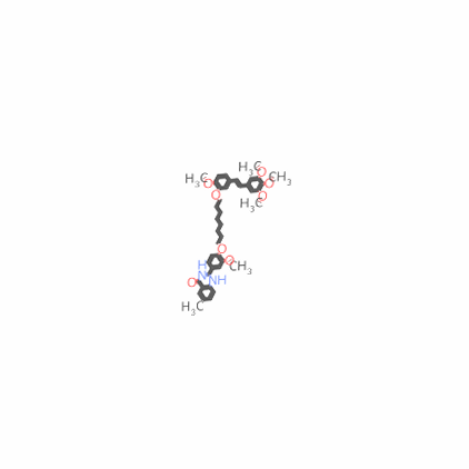 COc1cc(C2NC(=O)c3cc(C)ccc3N2)ccc1OCCCCCCCCOc1cc(C=Cc2cc(OC)c(OC)c(OC)c2)ccc1OC